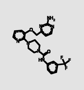 Nc1nccc(COc2cccnc2N2CCN(C(=O)Nc3cccc(C(F)(F)F)c3)CC2)n1